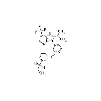 CCS(=O)(=O)c1cccc(Oc2cccc(-c3c(C(C)C)nc4c(C(F)(F)F)ccnn34)c2)c1